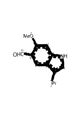 COc1cc2[nH]cc(C(C)C)c2cc1C=O